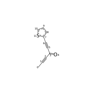 CC#CC(=O)C#Cc1cccs1